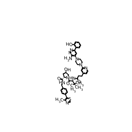 Cc1ncsc1-c1ccc(CNC(=O)[C@@H]2C[C@@H](O)CN2C(=O)[C@@H](NC(=O)CCc2ccnc(N3CCN(c4cc(-c5ccccc5O)nnc4N)CC3)c2)C(C)(C)C)cc1